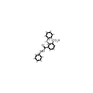 O=C(O)c1cccc(C(=O)OSc2ccccc2)c1Sc1ccccc1